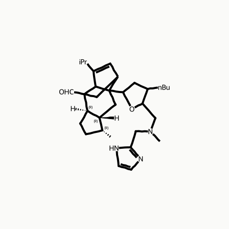 CCCCC1CC(C23C[C@@H]4[C@H](C)CC[C@H]4C4(C=O)CC2C=C(C(C)C)C34)OC1CN(C)Cc1ncc[nH]1